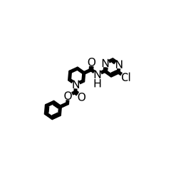 O=C(Nc1cc(Cl)ncn1)C1CCCN(C(=O)OCc2ccccc2)C1